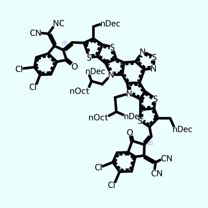 [C-]#[N+]C([N+]#[C-])=C1/C(=C/c2sc3c(sc4c5c6nsnc6c6c7sc8c(CCCCCCCCCCC)c(/C=C9\C(=O)c%10cc(Cl)c(Cl)cc%10C9=C(C#N)C#N)sc8c7n(CC(CCCCCCCC)CCCCCCCCCC)c6c5n(CC(CCCCCCCC)CCCCCCCCCC)c34)c2CCCCCCCCCCC)C(=O)c2cc(Cl)c(Cl)cc21